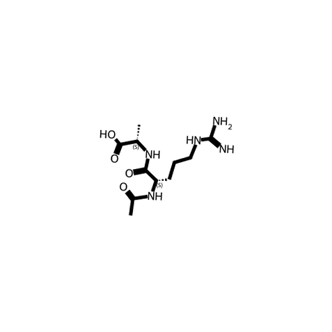 CC(=O)N[C@@H](CCCNC(=N)N)C(=O)N[C@@H](C)C(=O)O